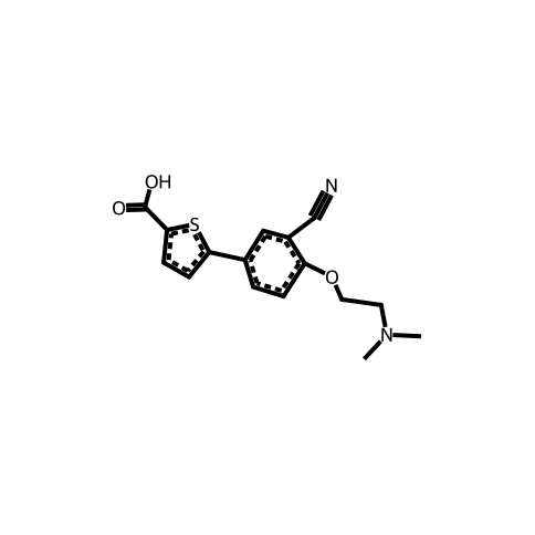 CN(C)CCOc1ccc(-c2ccc(C(=O)O)s2)cc1C#N